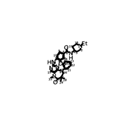 CCN1CCC(NC(=O)c2ccc(Nc3ncc4c(n3)N(c3ccccc3)CC(C)(C)C(=O)N4C)c(OC)c2)CC1